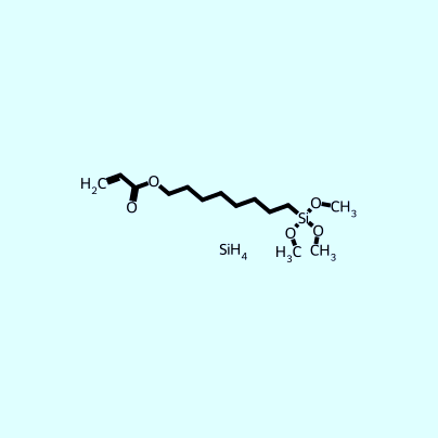 C=CC(=O)OCCCCCCCC[Si](OC)(OC)OC.[SiH4]